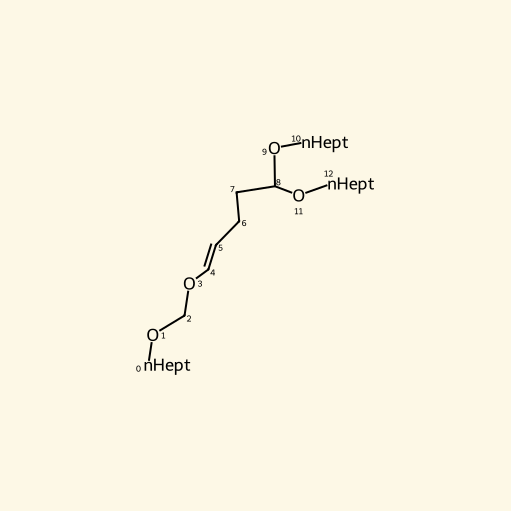 CCCCCCCOCOC=CCCC(OCCCCCCC)OCCCCCCC